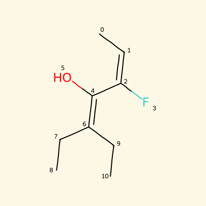 C/C=C(/F)C(O)=C(CC)CC